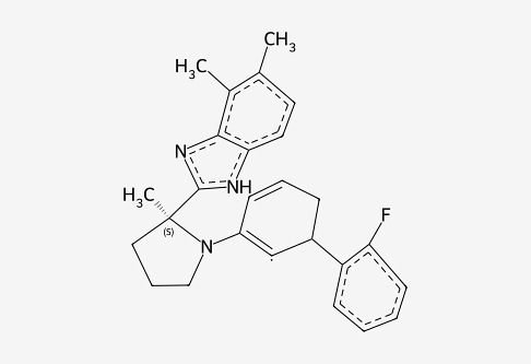 Cc1ccc2[nH]c([C@]3(C)CCCN3C3=[C]C(c4ccccc4F)CC=C3)nc2c1C